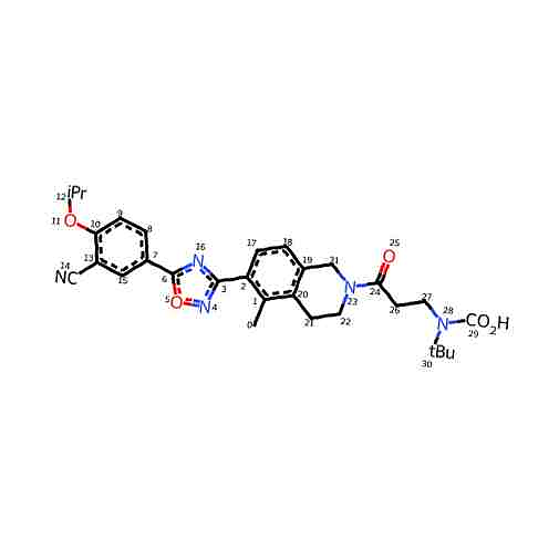 Cc1c(-c2noc(-c3ccc(OC(C)C)c(C#N)c3)n2)ccc2c1CCN(C(=O)CCN(C(=O)O)C(C)(C)C)C2